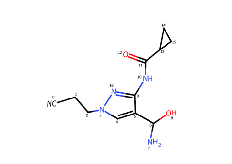 N#CCCn1cc(C(N)O)c(NC(=O)C2CC2)n1